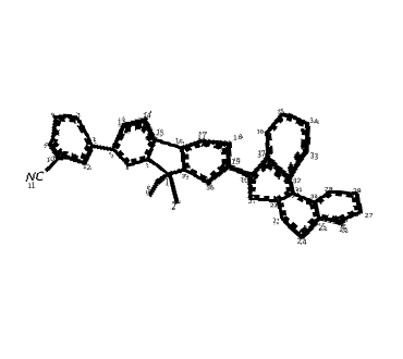 CC1(C)c2cc(-c3cccc(C#N)c3)ccc2-c2ccc(-c3cc4ccc5ccccc5c4c4ccccc34)cc21